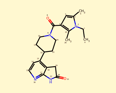 CCn1c(C)cc(C(=O)N2CCC(c3ccnc4c3CC(=O)N4)CC2)c1C